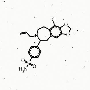 C=CCN1CCc2c(cc3c(c2Cl)OCO3)CC1c1ccc(S(N)(=O)=O)cc1